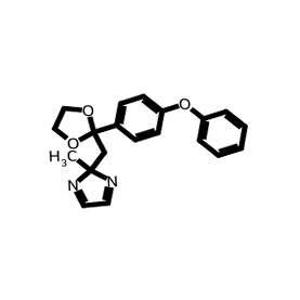 CC1(CC2(c3ccc(Oc4ccccc4)cc3)OCCO2)N=CC=N1